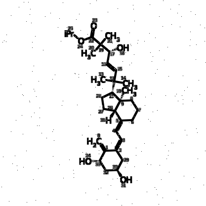 C=C1/C(=C\C=C2/CCC[C@]3(C)[C@@H](C(C)(C)/C=C/[C@@H](O)C(C)(C)C(=O)OC(C)C)CC[C@@H]23)C[C@@H](O)C[C@@H]1O